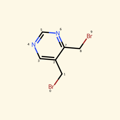 BrCc1cncnc1CBr